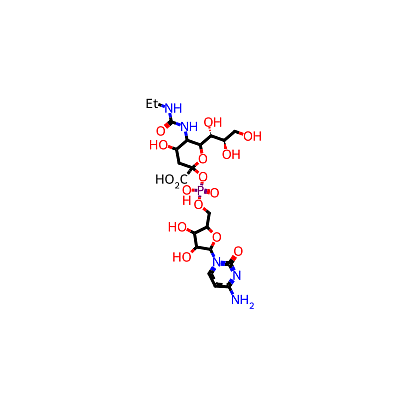 CCNC(=O)NC1C(O)CC(OP(=O)(O)OCC2OC(n3ccc(N)nc3=O)C(O)C2O)(C(=O)O)OC1[C@H](O)[C@H](O)CO